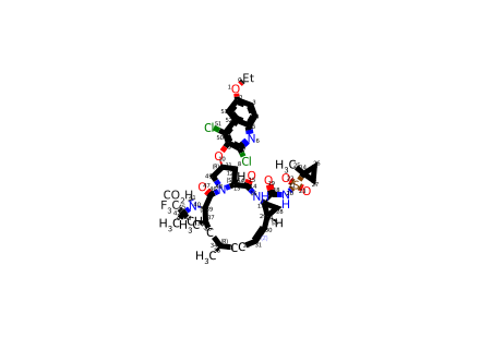 CCOc1ccc2nc(Cl)c(O[C@@H]3C[C@H]4C(=O)N[C@]5(C(=O)NS(=O)(=O)C6(C)CC6)C[C@H]5/C=C\CC[C@@H](C)C[C@@H](C)[C@H](N(C(=O)O)C(C)(C)C(F)(F)F)C(=O)N4C3)c(Cl)c2c1